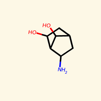 NC1CC2CC(O)C1C2O